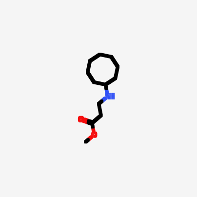 COC(=O)CCNC1CCCCCCC1